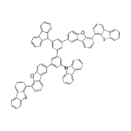 c1ccc2c(c1)-c1ccccc1C2c1cc(-c2cc(-c3ccc4oc5c(-c6cccc7c6sc6ccccc67)cccc5c4c3)cc(-n3c4ccccc4c4ccccc43)c2)cc(-c2ccc3oc4c(-c5cccc6c5sc5ccccc56)cccc4c3c2)c1